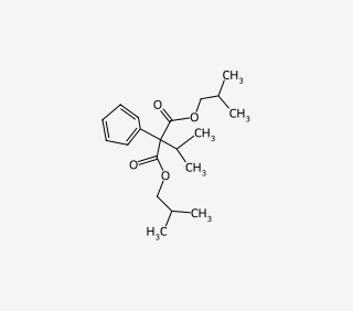 CC(C)COC(=O)C(C(=O)OCC(C)C)(c1ccccc1)C(C)C